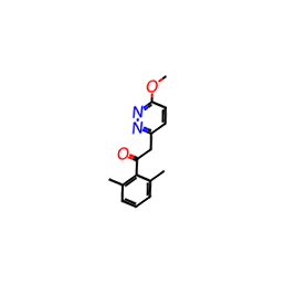 COc1ccc(CC(=O)c2c(C)cccc2C)nn1